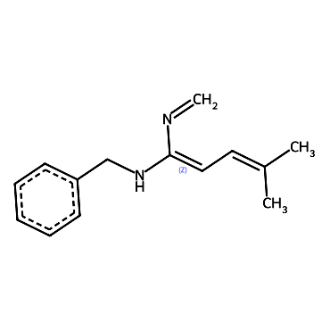 C=N/C(=C\C=C(C)C)NCc1ccccc1